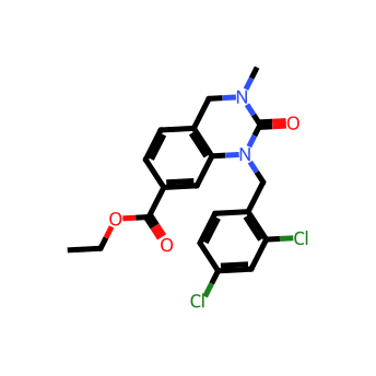 CCOC(=O)c1ccc2c(c1)N(Cc1ccc(Cl)cc1Cl)C(=O)N(C)C2